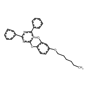 CCCCCCOc1ccc(Oc2nc(-c3ccccc3)nc(-c3ccccc3)n2)c(O)c1